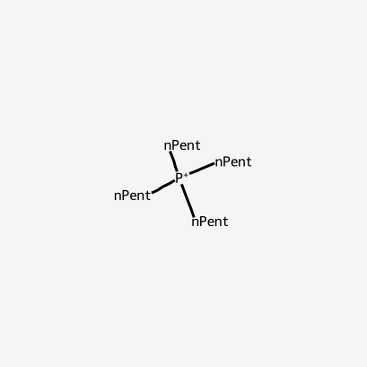 CCCCC[P+](CCCCC)(CCCCC)CCCCC